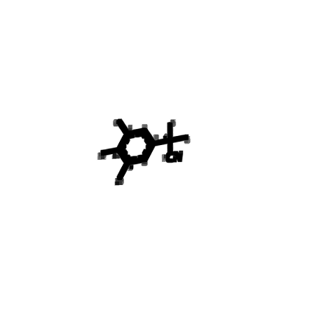 Cc1cc(C(C)(C)C#N)cc(C)c1C